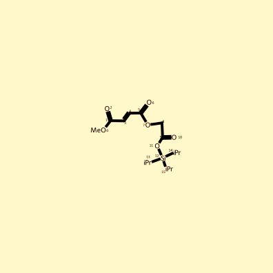 COC(=O)C=CC(=O)OCC(=O)O[Si](C(C)C)(C(C)C)C(C)C